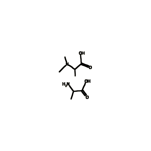 CC(C(=O)O)N(C)C.CC(N)C(=O)O